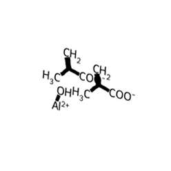 C=C(C)C(=O)[O-].C=C(C)C(=O)[O-].[OH][Al+2]